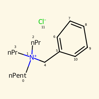 CCCCC[N+](CCC)(CCC)Cc1ccccc1.[Cl-]